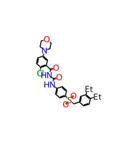 CCc1ccc(CS(=O)(=O)c2ccc(NC(=O)NC(=O)c3cc(N4CCOCC4)ccc3Cl)cc2)cc1CC